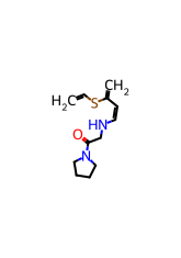 C=CSC(=C)/C=C\NCC(=O)N1CCCC1